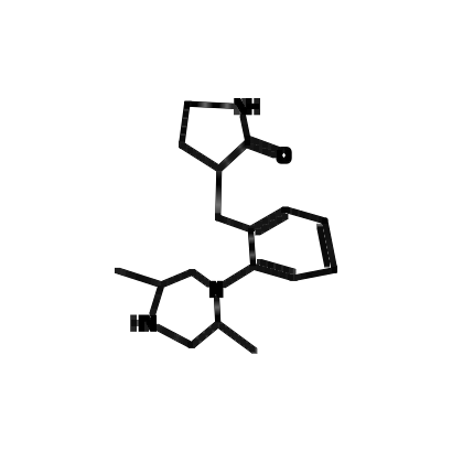 CC1CN(c2ccccc2CC2CCNC2=O)C(C)CN1